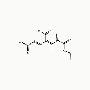 C=C(C(=O)OCC)C(C)=C(C=CC(=O)O)C(=O)O